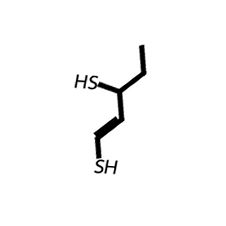 CCC(S)C=CS